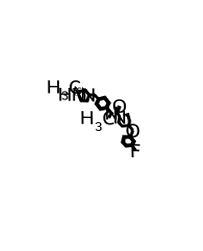 C[C@H]1CN(Cc2ccc(N(C)C(=O)N3CCC(Oc4cccc(F)c4)CC3)cc2)CCN1